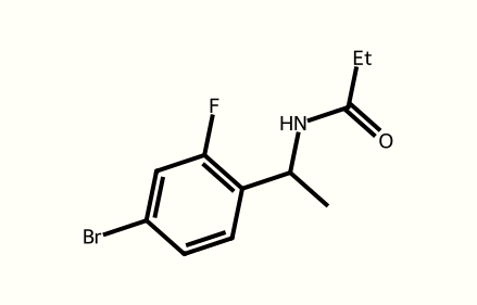 CCC(=O)NC(C)c1ccc(Br)cc1F